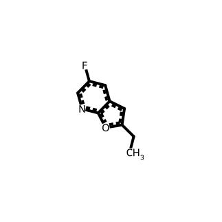 CCc1cc2cc(F)cnc2o1